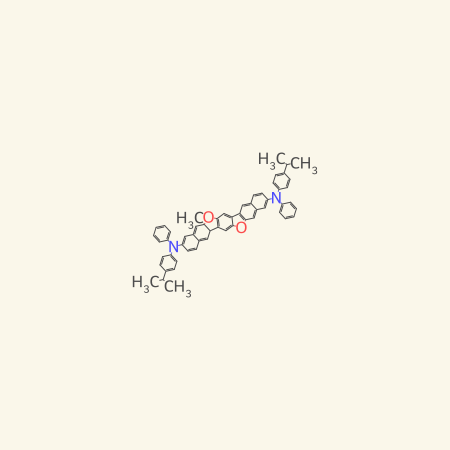 CC(C)c1ccc(N(c2ccccc2)c2ccc3c(c2)=CC2(C)Oc4cc5c(cc4C2C=3)oc2cc3cc(N(c4ccccc4)c4ccc(C(C)C)cc4)ccc3cc25)cc1